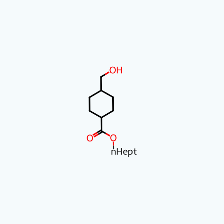 CCCCCCCOC(=O)C1CCC(CO)CC1